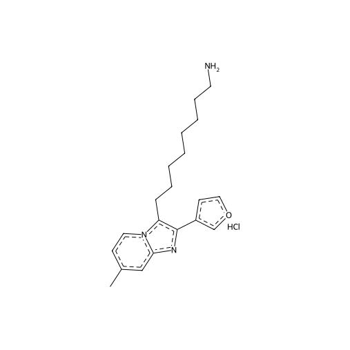 Cc1ccn2c(CCCCCCCCN)c(-c3ccoc3)nc2c1.Cl